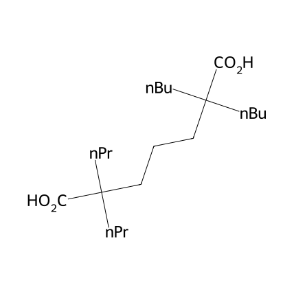 CCCCC(CCCC)(CCCC(CCC)(CCC)C(=O)O)C(=O)O